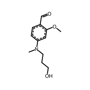 COc1cc(N(C)CCCO)ccc1C=O